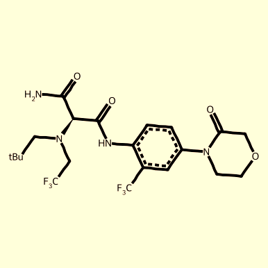 CC(C)(C)CN(CC(F)(F)F)[C@@H](C(N)=O)C(=O)Nc1ccc(N2CCOCC2=O)cc1C(F)(F)F